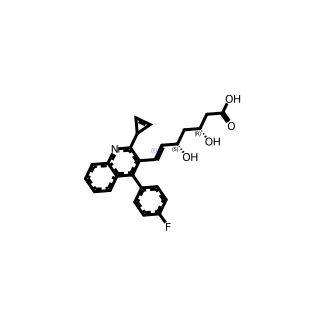 O=C(O)C[C@H](O)C[C@H](O)/C=C/c1c(C2C=C2)nc2ccccc2c1-c1ccc(F)cc1